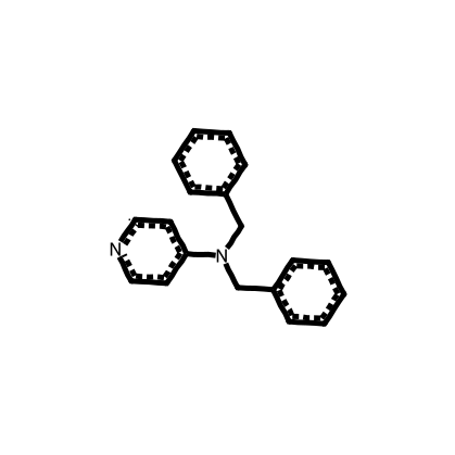 [c]1cc(N(Cc2ccccc2)Cc2ccccc2)ccn1